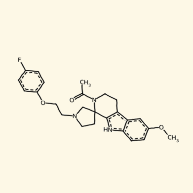 COc1ccc2[nH]c3c(c2c1)CCN(C(C)=O)C31CCN(CCOc2ccc(F)cc2)C1